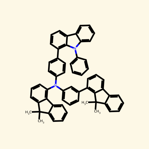 CC1(C)c2ccccc2-c2c(N(c3ccc(-c4cccc5c6ccccc6n(-c6ccccc6)c45)cc3)c3cccc(-c4cccc5c4C(C)(C)c4ccccc4-5)c3)cccc21